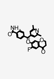 Cc1cc([C@H](Oc2cc3c(cc2F)C(=O)CCO3)c2ccc(C(N)=O)cc2)cc(C)n1